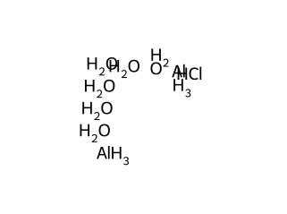 Cl.O.O.O.O.O.O.[AlH3].[AlH3]